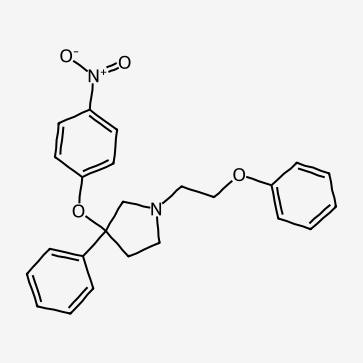 O=[N+]([O-])c1ccc(OC2(c3ccccc3)CCN(CCOc3ccccc3)C2)cc1